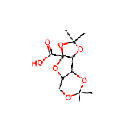 CC1(C)OCC2OC3(C(=O)O)OC(C)(C)OC3C2O1